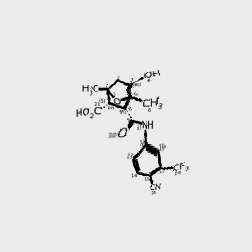 CC12C[C@@H](O)C(C)(O1)[C@H](C(=O)Nc1ccc(C#N)c(C(F)(F)F)c1)[C@@H]2C(=O)O